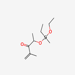 C=C(C)C(=O)C(C)O[Si](C)(CC)OCC